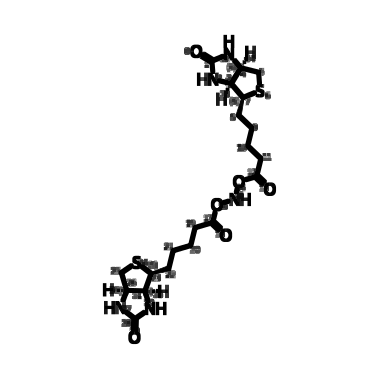 O=C1N[C@H]2[C@H](CS[C@H]2CCCCC(=O)ONOC(=O)CCCC[C@@H]2SC[C@@H]3NC(=O)N[C@@H]32)N1